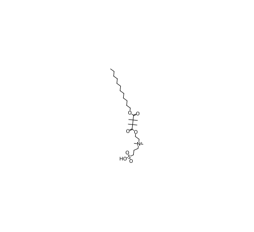 CCCCCCCCCCCCOC(=O)C(C)(C)C(C)(C)C(=O)OCC[N+](C)(C)CCCS(=O)(=O)O